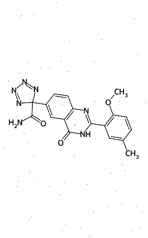 COc1ccc(C)cc1-c1nc2ccc(C3(C(N)=O)N=NN=N3)cc2c(=O)[nH]1